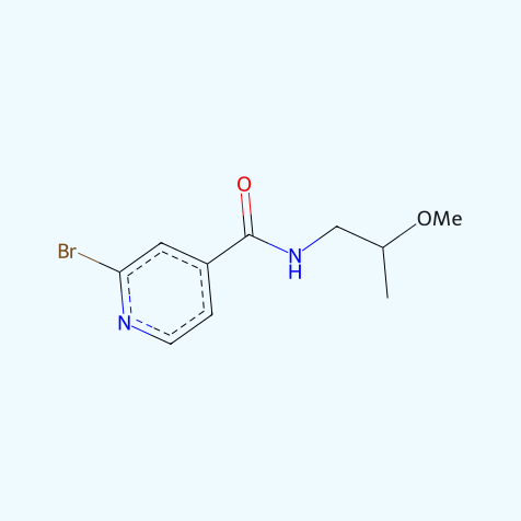 COC(C)CNC(=O)c1ccnc(Br)c1